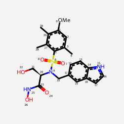 COc1cc(C)c(S(=O)(=O)N(Cc2ccc3[nH]ccc3c2)[C@H](CO)C(=O)NO)c(C)c1C